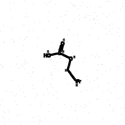 CC(C)COS(=O)O